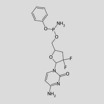 Nc1ccn(C2OC(COP(N)Oc3ccccc3)CC2(F)F)c(=O)n1